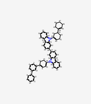 C1=C(c2cccc(-c3ccccc3)c2)CCC(n2c3ccccc3c3ccc(-c4ccc5c6ccccc6n(C6=CCCC(C7=CCCCC7)C6)c5c4)cc32)=C1